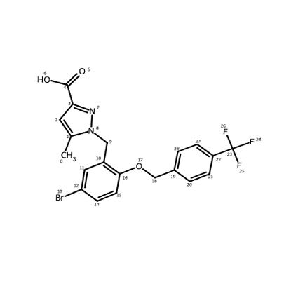 Cc1cc(C(=O)O)nn1Cc1cc(Br)ccc1OCc1ccc(C(F)(F)F)cc1